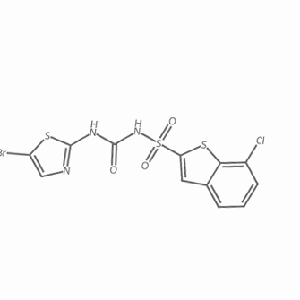 O=C(Nc1ncc(Br)s1)NS(=O)(=O)c1cc2cccc(Cl)c2s1